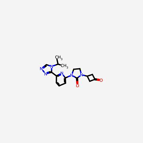 CC(C)n1cnnc1-c1cccc(N2CCN(C3CC(=O)C3)C2=O)n1